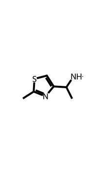 Cc1nc(C(C)[NH])cs1